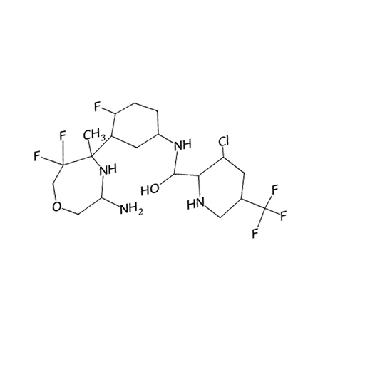 CC1(C2CC(NC(O)C3NCC(C(F)(F)F)CC3Cl)CCC2F)NC(N)COCC1(F)F